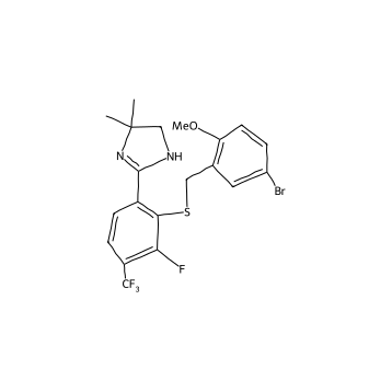 COc1ccc(Br)cc1CSc1c(C2=NC(C)(C)CN2)ccc(C(F)(F)F)c1F